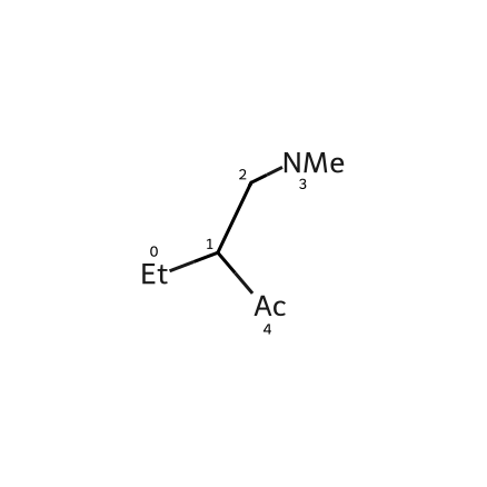 CCC(CNC)C(C)=O